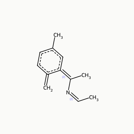 C=c1ccc(C)c/c1=C(C)/N=C\C